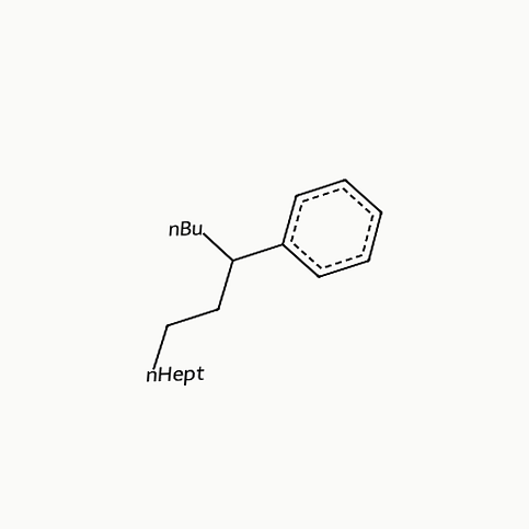 CCCCCCCCCC(CCCC)c1ccccc1